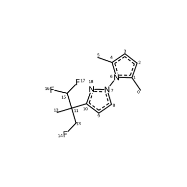 Cc1ccc(C)n1-n1ccc(C(C)(CF)C(F)F)n1